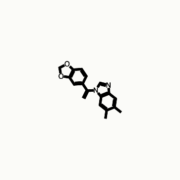 C=C(c1ccc2c(c1)OCO2)n1cnc2cc(C)c(C)cc21